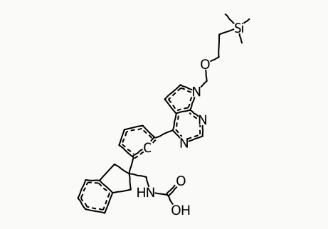 C[Si](C)(C)CCOCn1ccc2c(-c3cccc(C4(CNC(=O)O)Cc5ccccc5C4)c3)ncnc21